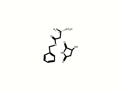 N[C@@H](CC(=O)OCc1ccccc1)C(=O)O.O=C1CC(O)C(=O)N1